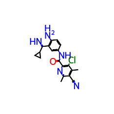 Cc1nc(C(=O)Nc2ccc(N)c(C(=N)C3CC3)c2)c(Cl)c(C)c1C#N